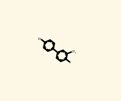 CCc1ccc(-c2ccc(F)c(C(F)(F)F)c2)cc1